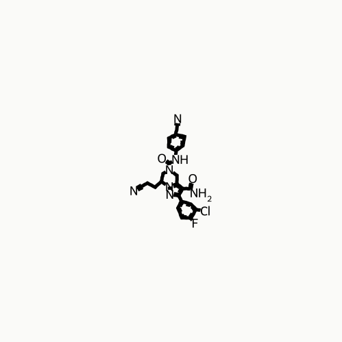 N#CCCC1CN(C(=O)Nc2ccc(C#N)cc2)Cc2c(C(N)=O)c(-c3ccc(F)c(Cl)c3)nn21